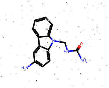 NC(=O)NCn1c2ccccc2c2cc(N)ccc21